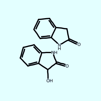 O=C1Cc2ccccc2N1.O=C1Nc2ccccc2C1O